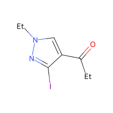 CCC(=O)c1cn(CC)nc1I